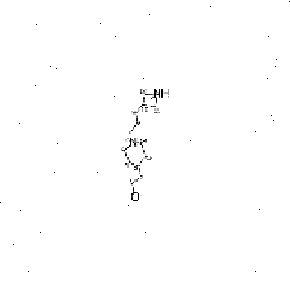 [O]CCC1CCN(CCCC2CNC2)CC1